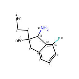 CCCC1(CCC(C)C)Cc2cccc(F)c2C1N